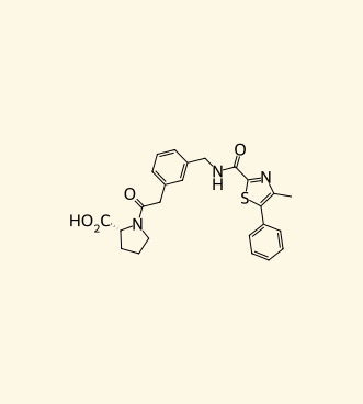 Cc1nc(C(=O)NCc2cccc(CC(=O)N3CCC[C@@H]3C(=O)O)c2)sc1-c1ccccc1